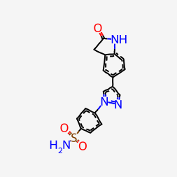 NS(=O)(=O)c1ccc(-n2cc(-c3ccc4c(c3)CC(=O)N4)cn2)cc1